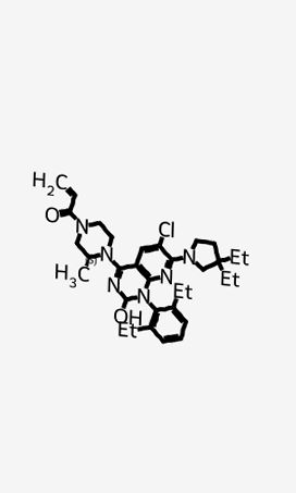 C=CC(=O)N1CCN(C2=NC(O)N(c3c(CC)cccc3CC)c3nc(N4CCC(CC)(CC)C4)c(Cl)cc32)[C@@H](C)C1